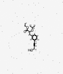 CCOC(=O)C(Cc1cccc(C#CCO)c1)OC(C)C